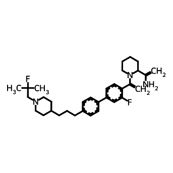 C=C(N)C1CCCCN1C(=C)c1ccc(-c2ccc(CCCC3CCN(CC(C)(C)F)CC3)cc2)cc1F